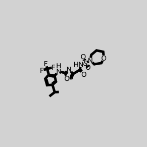 CC(C)c1ccc(C(F)(F)F)c(Nc2nc(C(=O)NS(=O)(=O)N3CCCOCC3)co2)c1